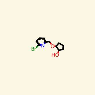 OC1CCCC1OCc1cccc(Br)n1